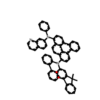 CC1(C)c2ccccc2-c2ccc(N(c3ccccc3-c3ccccc3)c3ccc4c5ccccc5c5ccc(N(c6ccccc6)c6ccc7cccnc7c6)c6ccc3c4c65)cc21